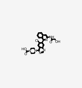 O=C(CO)Nc1cc2ccccc2c(-c2cc3ncnc(N4CCN(C(=O)O)CC4)c3cc2Cl)n1